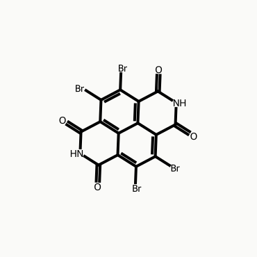 O=C1NC(=O)c2c(Br)c(Br)c3c4c(c(Br)c(Br)c1c24)C(=O)NC3=O